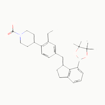 CCc1cc(CC2CCc3cccc(B4OC(C)(C)C(C)(C)O4)c32)ccc1C1CCN(C(=O)O)CC1